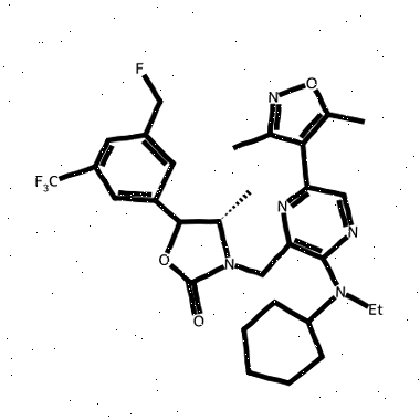 CCN(c1ncc(-c2c(C)noc2C)nc1CN1C(=O)OC(c2cc(CF)cc(C(F)(F)F)c2)[C@@H]1C)C1CCCCC1